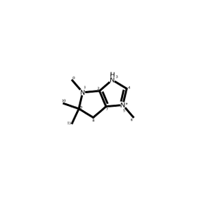 CN1c2[nH]c[n+](C)c2CC1(C)C